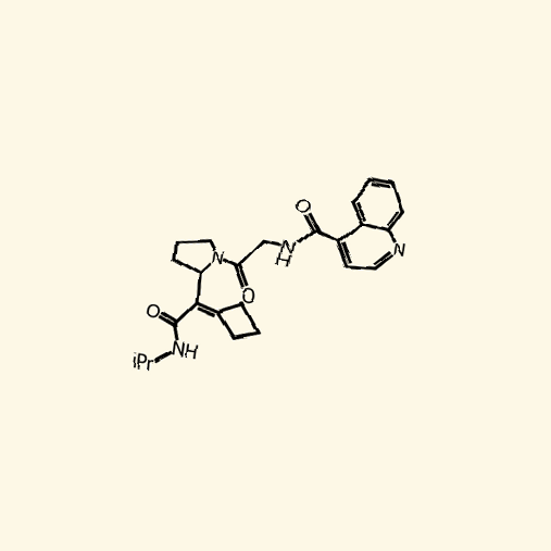 CC(C)NC(=O)C(=C1CCC1)C1CCCN1C(=O)CNC(=O)c1ccnc2ccccc12